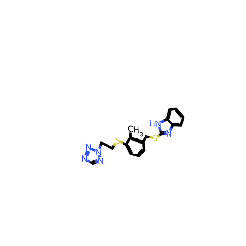 Cc1c(CSc2nc3ccccc3[nH]2)cccc1SCCn1ncnn1